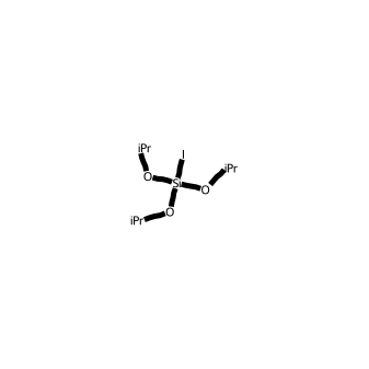 CC(C)O[Si](I)(OC(C)C)OC(C)C